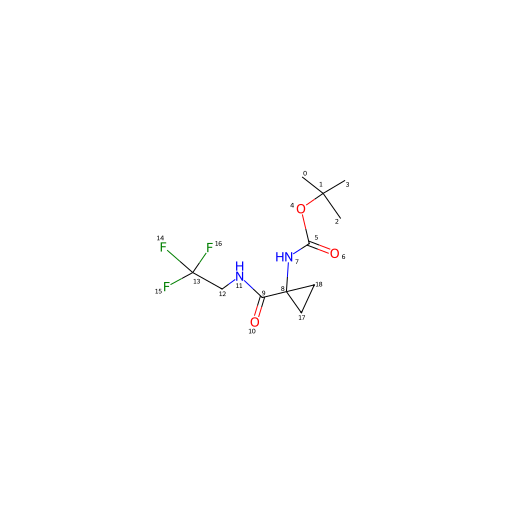 CC(C)(C)OC(=O)NC1(C(=O)NCC(F)(F)F)CC1